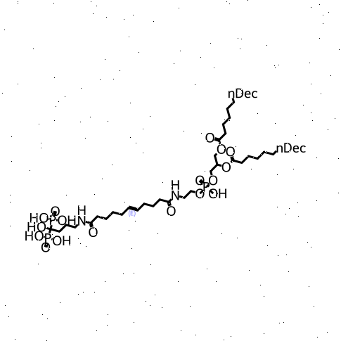 CCCCCCCCCCCCCCCC(=O)OCC(COP(=O)(O)OCCNC(=O)CCC/C=C/CCCCC(=O)NCCCC(O)(P(=O)(O)O)P(=O)(O)O)OC(=O)CCCCCCCCCCCCCCC